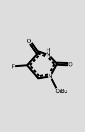 CC(C)COn1cc(F)c(=O)[nH]c1=O